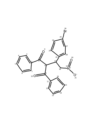 O=C(c1ccccc1)C(C(=O)c1ccccc1)C(C[N+](=O)[O-])c1ccc(Br)cc1